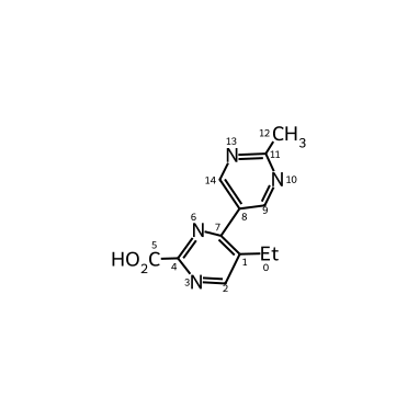 CCc1cnc(C(=O)O)nc1-c1cnc(C)nc1